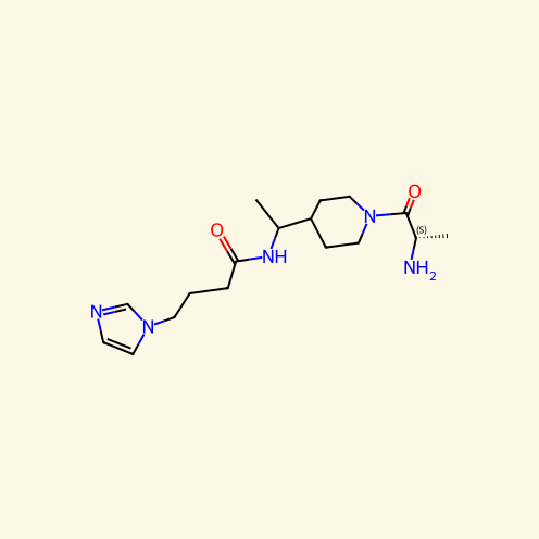 CC(NC(=O)CCCn1ccnc1)C1CCN(C(=O)[C@H](C)N)CC1